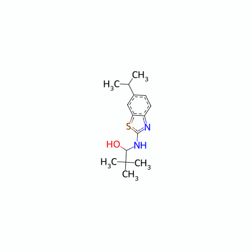 CC(C)c1ccc2nc(NC(O)C(C)(C)C)sc2c1